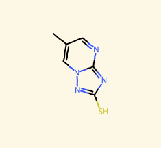 Cc1cnc2nc(S)nn2c1